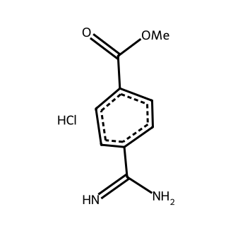 COC(=O)c1ccc(C(=N)N)cc1.Cl